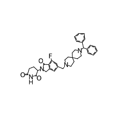 O=C1CCC(N2Cc3cc(CN4CCC5(CC4)CCN(C(c4ccccc4)c4ccccc4)CC5)cc(F)c3C2=O)C(=O)N1